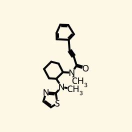 CN(C(=O)C#Cc1ccccc1)C1CCCCC1N(C)c1nccs1